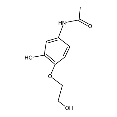 CC(=O)Nc1ccc(OCCO)c(O)c1